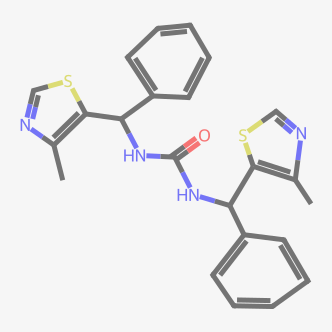 Cc1ncsc1C(NC(=O)NC(c1ccccc1)c1scnc1C)c1ccccc1